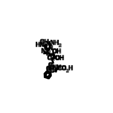 CC(N[P@](=O)(OC[C@H]1O[C@@H](n2cnc3c(NO)nc(N)nc32)[C@H](O)[C@@H]1O)Oc1ccccc1)C(=O)O